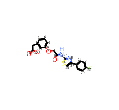 O=C(COc1cccc2c1OC(=O)C2)Nc1nc(-c2ccc(F)cc2)cs1